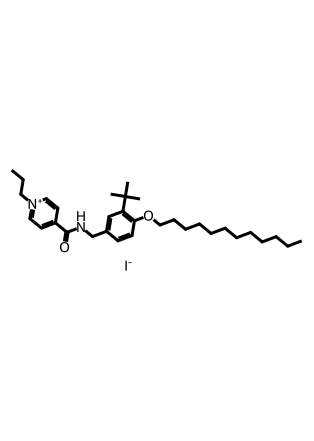 CCCCCCCCCCCCOc1ccc(CNC(=O)c2cc[n+](CCC)cc2)cc1C(C)(C)C.[I-]